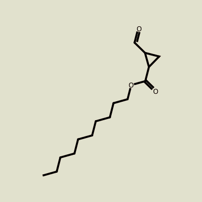 CCCCCCCCCCOC(=O)C1CC1C=O